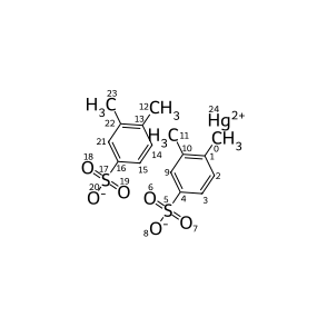 Cc1ccc(S(=O)(=O)[O-])cc1C.Cc1ccc(S(=O)(=O)[O-])cc1C.[Hg+2]